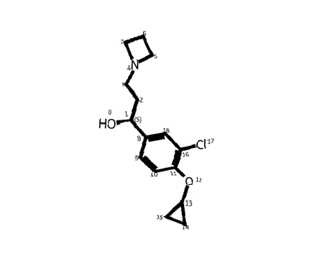 O[C@@H](CCN1CCC1)c1ccc(OC2CC2)c(Cl)c1